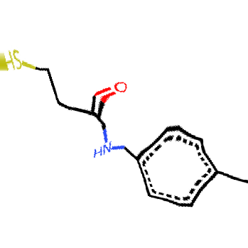 Cc1ccc(NC(=O)CCS)cc1